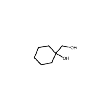 OCC1(O)CCCCC1